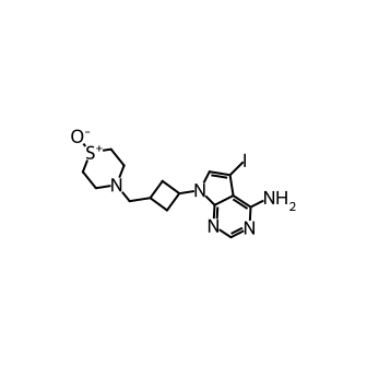 Nc1ncnc2c1c(I)cn2C1CC(CN2CC[S+]([O-])CC2)C1